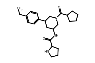 CCc1ccc(C2CC(NC(=O)C3CCCN3)CN(C(=O)C3CCCC3)C2)cc1